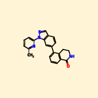 Cc1cccc(-n2ncc3ccc(-c4cccc5c4CCNC5=O)cc32)n1